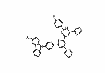 Cc1ccc2c(c1)c1ccccc1n2-c1ccc(-c2cc(-c3ccccc3)cc(-c3cc(-c4ccccc4)nc(-c4ccc(F)cc4)n3)c2)cc1